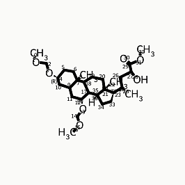 COCO[C@@H]1CCC2(C)C(C1)C[C@@H](OCOC)C1C2CC[C@]2(C)[C@@H]([C@H](C)CC(O)C(=O)OC)CC[C@@H]12